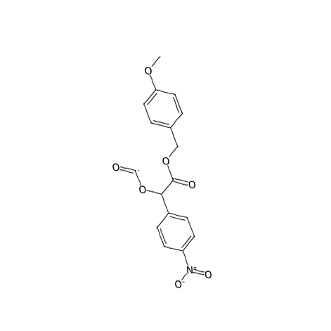 COc1ccc(COC(=O)C(O[C]=O)c2ccc([N+](=O)[O-])cc2)cc1